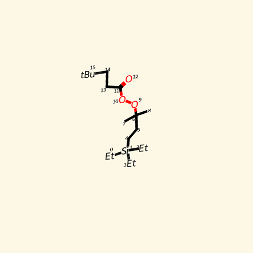 CC[Si](CC)(CC)CCC(C)(C)OOC(=O)CCC(C)(C)C